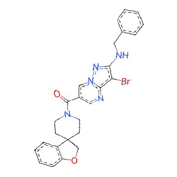 O=C(c1cnc2c(Br)c(NCc3ccccc3)nn2c1)N1CCC2(CC1)COc1ccccc12